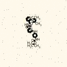 CC1CN(c2ncccc2C(=O)NS(=O)(=O)c2cccc(N[C@H]3CC[C@@H](NC(=O)OC(C)(C)C)CC3)n2)C(C)(C)C1